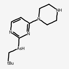 CC(C)(C)C[AsH]c1nccc(N2CCNCC2)n1